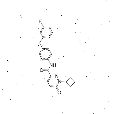 O=C(Nc1ccc(Cc2cccc(F)c2)cn1)c1ccc(=O)n(C2CCC2)n1